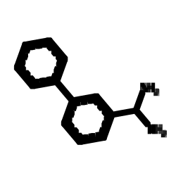 NC(N)c1cccc(-c2ccccc2)c1